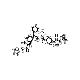 Cn1c(C(=O)OC[C@@H]2CCCO2)cc2cc(NC(=O)[C@@H]3[C@H](C4CCCCC4)CCN3C(=O)C3CCC([C@@H](CF)NC(=O)OC(C)(C)C)CC3)ccc21